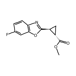 COC(=O)[C@H]1C[C@@H]1c1nc2ccc(F)cc2o1